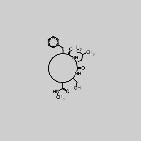 CNC(=O)C1CCCCCCCC(Cc2ccccc2)C(=O)N[C@@H](CC(C)C)C(=O)NC(CO)C1